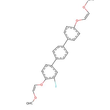 O=CO/C=C\Oc1ccc(-c2ccc(-c3ccc(O/C=C\OC=O)c(F)c3)cc2)cc1